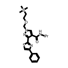 CC(C)NC(=O)c1cn(COCCS(C)(C)C)nc1-c1nc(-c2ccccc2)cs1